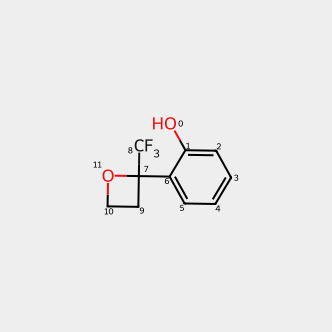 Oc1ccccc1C1(C(F)(F)F)CCO1